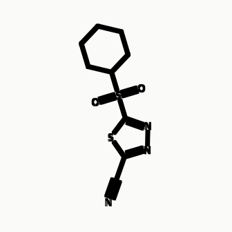 N#Cc1nnc(S(=O)(=O)C2CCCCC2)s1